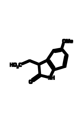 COc1ccc2c(c1)C(CC(=O)O)C(=O)N2